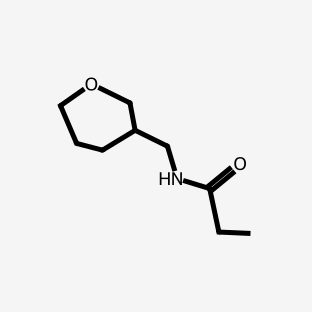 CCC(=O)NCC1CCCOC1